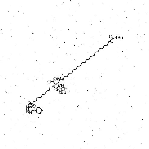 COC(=O)[C@H](CCCCCCCCCCCCCCCCCCCCCCCCOC(=O)C(C)(C)C)[C@@H](CCCCCCCCCS(=O)(=O)c1nnnn1-c1ccccc1)O[Si](C)(C)C(C)(C)C